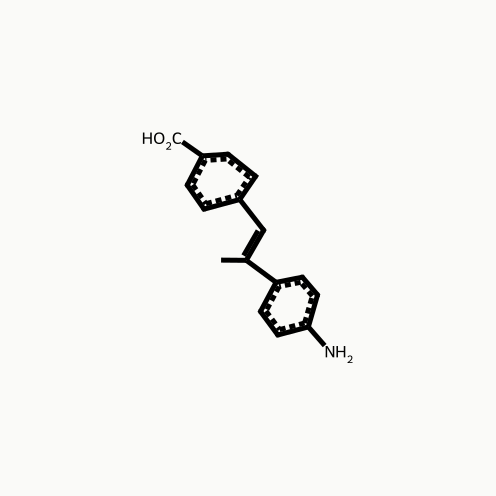 C/C(=C\c1ccc(C(=O)O)cc1)c1ccc(N)cc1